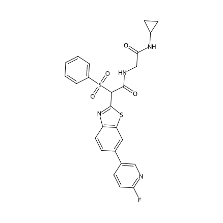 O=C(CNC(=O)C(c1nc2ccc(-c3ccc(F)nc3)cc2s1)S(=O)(=O)c1ccccc1)NC1CC1